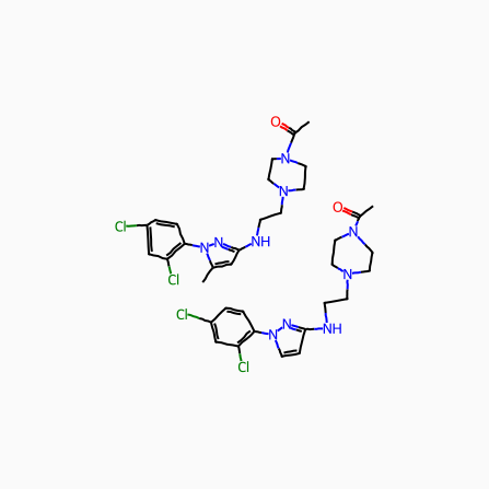 CC(=O)N1CCN(CCNc2cc(C)n(-c3ccc(Cl)cc3Cl)n2)CC1.CC(=O)N1CCN(CCNc2ccn(-c3ccc(Cl)cc3Cl)n2)CC1